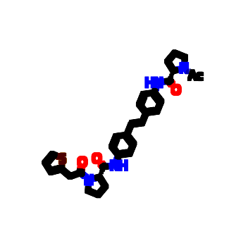 CC(=O)N1CCC[C@H]1C(=O)Nc1ccc(/C=C/c2ccc(NC(=O)[C@@H]3CCCN3C(=O)Cc3cccs3)cc2)cc1